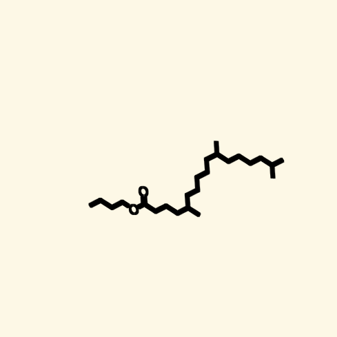 CCCCOC(=O)CCCC(C)CCCCCC(C)CCCCC(C)C